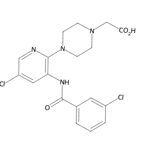 O=C(O)CN1CCN(c2ncc(Cl)cc2NC(=O)c2cccc(Cl)c2)CC1